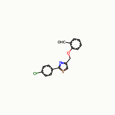 O=Cc1ccccc1OCc1csc(-c2ccc(Cl)cc2)n1